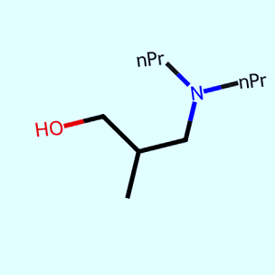 CCCN(CCC)CC(C)CO